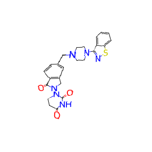 O=C1CCN(N2Cc3cc(CN4CCN(c5nsc6ccccc56)CC4)ccc3C2=O)C(=O)N1